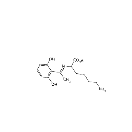 CC(=NC(CCCCN)C(=O)O)c1c(O)cccc1O